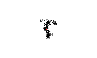 COc1cc(C(=O)N2CCC(CCN3CCCN(c4nc5ccccc5[nH]4)CC3)(c3ccccn3)C2)cc(OC)c1OC